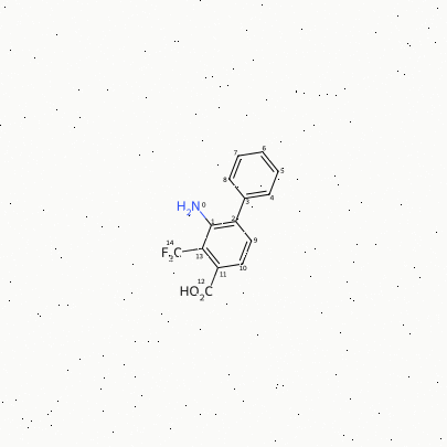 Nc1c(-c2ccccc2)ccc(C(=O)O)c1C(F)(F)F